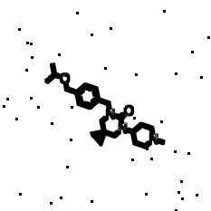 CC(C)OCc1ccc(CN2CC3(CC3)CN(C3CCN(C)CC3)C2=O)cc1